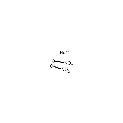 O=[N+]([O-])[O-].O=[N+]([O-])[O-].[Hg+2]